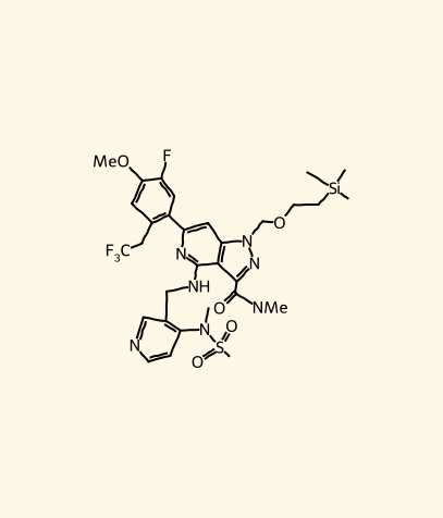 CNC(=O)c1nn(COCC[Si](C)(C)C)c2cc(-c3cc(F)c(OC)cc3CC(F)(F)F)nc(NCc3cnccc3N(C)S(C)(=O)=O)c12